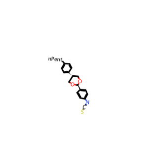 CCCCCc1ccc([C@H]2CO[C@H](c3ccc(N=C=S)cc3)OC2)cc1